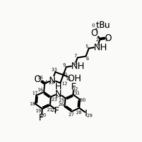 CC(C)(C)OC(=O)NCCCNCC1(O)CN(C(=O)c2ccc(F)c(F)c2Nc2ccc(I)cc2F)C1